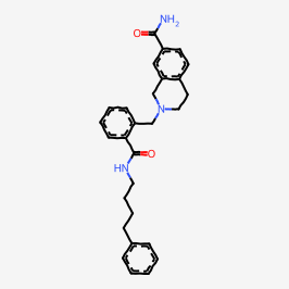 NC(=O)c1ccc2c(c1)CN(Cc1ccccc1C(=O)NCCCCc1ccccc1)CC2